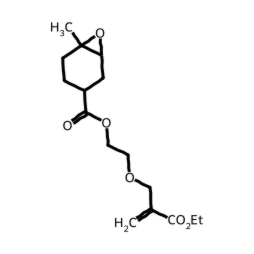 C=C(COCCOC(=O)C1CCC2(C)OC2C1)C(=O)OCC